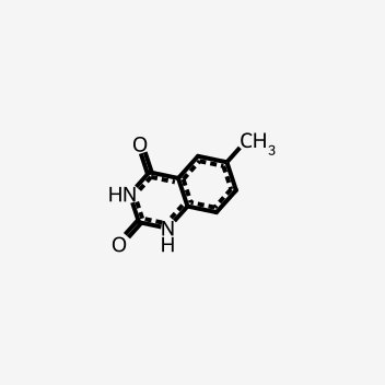 Cc1ccc2[nH]c(=O)[nH]c(=O)c2c1